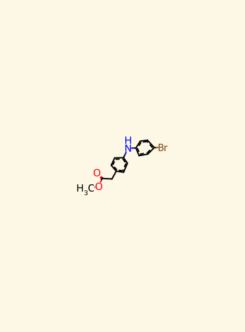 COC(=O)Cc1ccc(Nc2ccc(Br)cc2)cc1